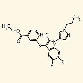 CCCn1cc(-n2c(C)c(Sc3cccc(C(=O)OCC)c3)c3cc(F)c(Cl)cc32)cn1